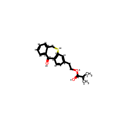 CC(C)C(=O)OCCc1ccc2c(c1)SCc1ccccc1C2=O